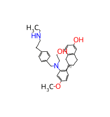 CCNCCc1ccc(CN(CCO)c2cc(OC)ccc2[C@@H]2CCc3cc(O)ccc3C2)cc1